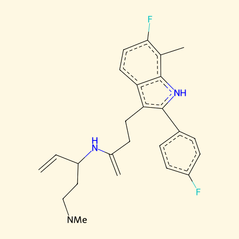 C=CC(CCNC)NC(=C)CCc1c(-c2ccc(F)cc2)[nH]c2c(C)c(F)ccc12